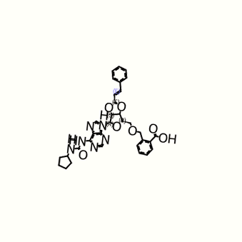 O=C(Nc1ncnc2c1ncn2[C@@H]1O[C@H](COCc2ccccc2C(=O)O)C2O[C@H](/C=C/c3ccccc3)O[C@@H]21)NC1CCCC1